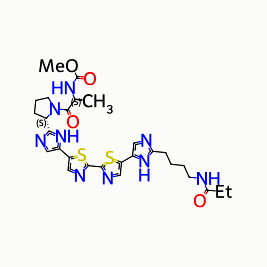 CCC(=O)NCCCCc1ncc(-c2cnc(-c3ncc(-c4cnc([C@@H]5CCCN5C(=O)[C@H](C)NC(=O)OC)[nH]4)s3)s2)[nH]1